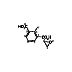 C1CO1.Cc1c(C(=O)O)cccc1C(=O)O